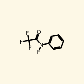 O=C(N(F)c1ccccc1)C(F)(F)F